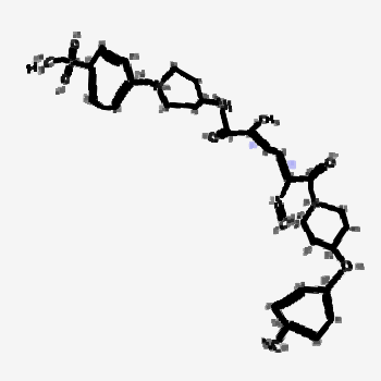 C=N/C(=C\C=C(/C)C(=O)NC1CCN(c2ccc(S(C)(=O)=O)cc2)CC1)C(=O)N1CCC(Oc2ccc(C#N)cc2)CC1